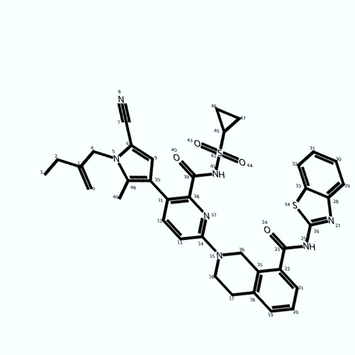 C=C(CC)Cn1c(C#N)cc(-c2ccc(N3CCc4cccc(C(=O)Nc5nc6ccccc6s5)c4C3)nc2C(=O)NS(=O)(=O)C2CC2)c1C